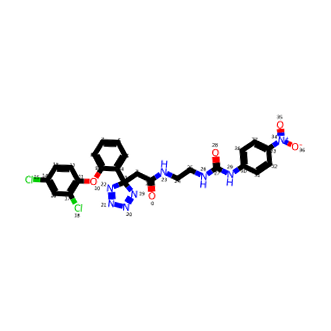 O=C(CC1(c2ccccc2Oc2ccc(Cl)cc2Cl)N=NN=N1)NCCNC(=O)Nc1ccc([N+](=O)[O-])cc1